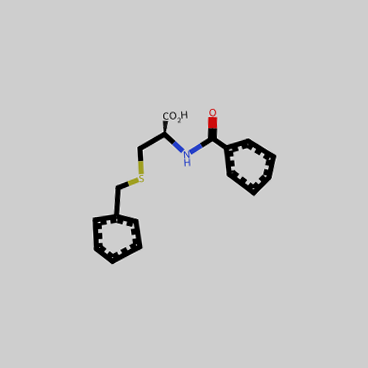 O=C(N[C@@H](CSCc1ccccc1)C(=O)O)c1ccccc1